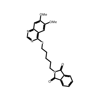 COc1cc2ncnc(SCCCCCN3C(=O)c4ccccc4C3=O)c2cc1OC